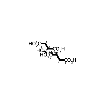 CCCCCCO.O=C(O)CCC(=O)O.O=C(O)CCC(=O)O